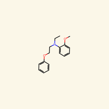 CCN(CCOc1ccccc1)c1ccccc1OC